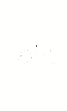 COC(=O)[C@@H](C)[C@@H]1CCc2cc(O)ccc21